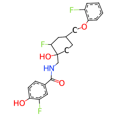 O=C(NCC1(O)CCC(COc2ccccc2F)CC1F)c1ccc(O)c(F)c1